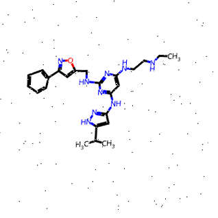 CCNCCNc1cc(Nc2cc(C(C)C)[nH]n2)nc(NCc2cc(-c3ccccc3)no2)n1